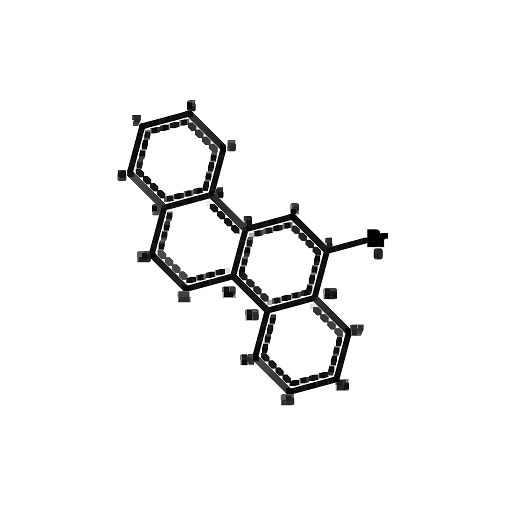 Brc1cc2c3ccccc3ccc2c2ccccc12